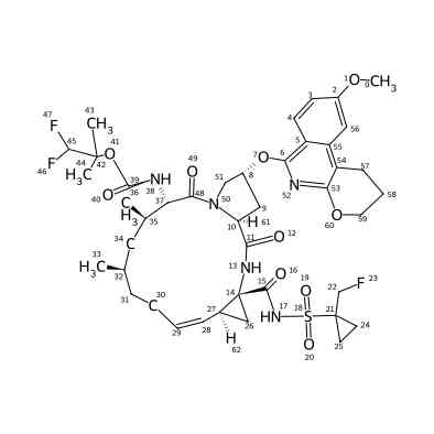 COc1ccc2c(O[C@@H]3C[C@H]4C(=O)N[C@]5(C(=O)NS(=O)(=O)C6(CF)CC6)C[C@H]5/C=C\CC[C@@H](C)C[C@@H](C)[C@H](NC(=O)OC(C)(C)C(F)F)C(=O)N4C3)nc3c(c2c1)CCCO3